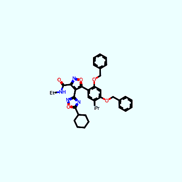 CCNC(=O)c1noc(-c2cc(C(C)C)c(OCc3ccccc3)cc2OCc2ccccc2)c1-c1noc(C2CCCCC2)n1